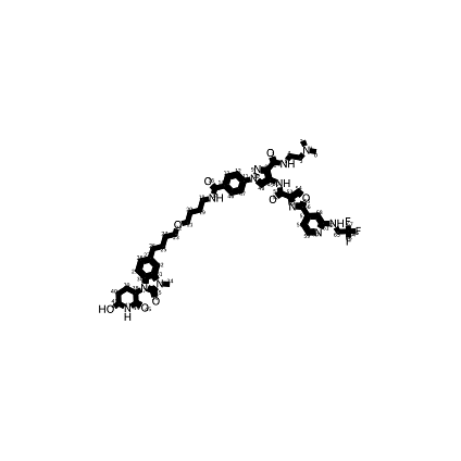 CN(C)CCNC(=O)c1nn(-c2ccc(C(=O)NCCCCOCCCCc3ccc4c(c3)n(C)c(=O)n4C3CCC(O)NC3=O)cc2)cc1NC(=O)c1coc(-c2ccnc(NCC(F)(F)F)c2)n1